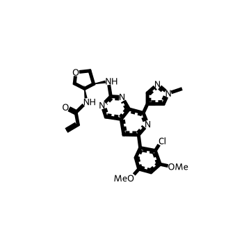 C=CC(=O)N[C@H]1COC[C@H]1Nc1ncc2cc(-c3cc(OC)cc(OC)c3Cl)nc(-c3cnn(C)c3)c2n1